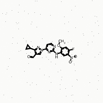 COc1cc(F)c([N+](=O)[O-])cc1Nc1nccc(-n2cc(C=O)c(C3CC3)n2)n1